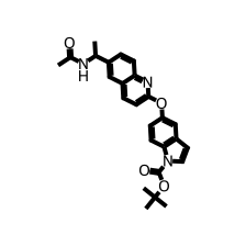 CC(=O)NC(C)c1ccc2nc(Oc3ccc4c(ccn4C(=O)OC(C)(C)C)c3)ccc2c1